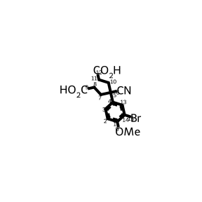 COc1ccc(C(C#N)(CCC(=O)O)CCC(=O)O)cc1Br